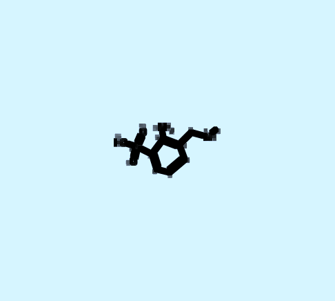 CNCc1cccc(S(=O)(=O)O)c1N